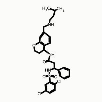 CC(C)CCNCc1ccc2c(c1)OCCC2NC(=O)CC(NS(=O)(=O)c1cc(Cl)ccc1Cl)c1ccccc1